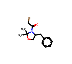 CC1(C)OCC(Cc2ccccc2)N1C(=O)CBr